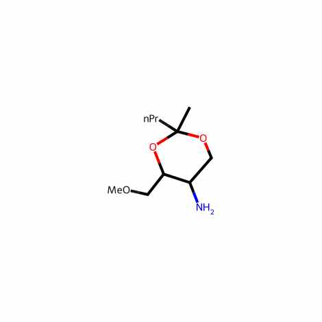 CCCC1(C)OCC(N)C(COC)O1